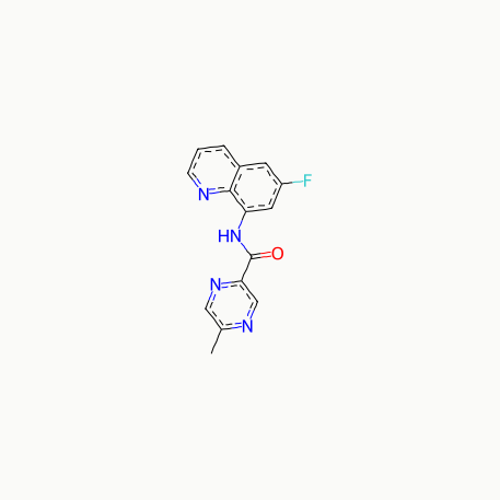 Cc1cnc(C(=O)Nc2cc(F)cc3cccnc23)cn1